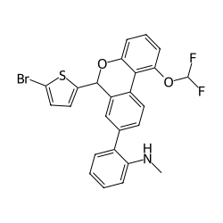 CNc1ccccc1-c1ccc2c(c1)C(c1ccc(Br)s1)Oc1cccc(OC(F)F)c1-2